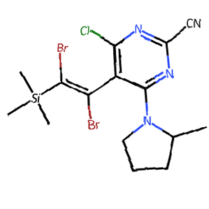 CC1CCCN1c1nc(C#N)nc(Cl)c1C(Br)=C(Br)[Si](C)(C)C